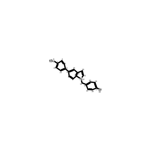 CC(C)(C)c1ccc(-c2ccc3c(ccn3Cc3ccc(Br)cc3)c2)cc1